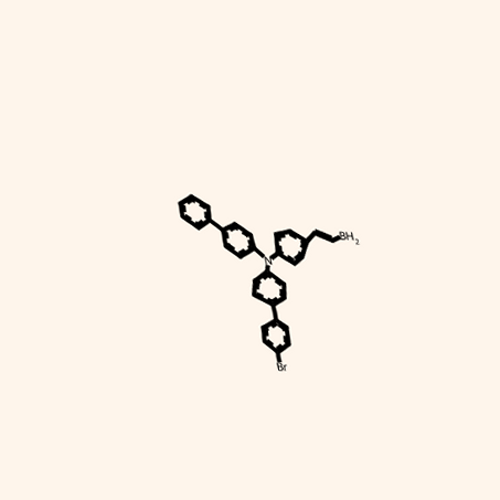 BC=Cc1ccc(N(c2ccc(-c3ccccc3)cc2)c2ccc(-c3ccc(Br)cc3)cc2)cc1